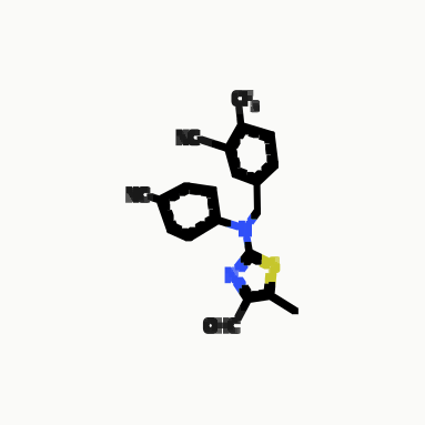 Cc1sc(N(Cc2ccc(C(F)(F)F)c(C#N)c2)c2ccc(C#N)cc2)nc1C=O